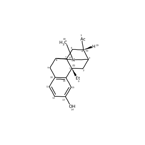 CC[C@]12CC3[C@@H](C(C)=O)CC1C(Cc1ccc(O)cc12)N3C